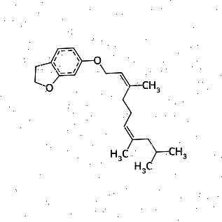 CC(=CCOc1ccc2c(c1)OCC2)CCC=C(C)CC(C)C